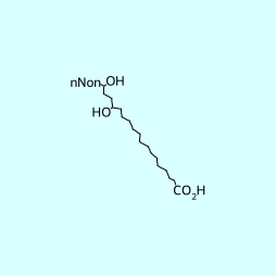 CCCCCCCCCC(O)CCC(O)CCCCCCCCCCCCCC(=O)O